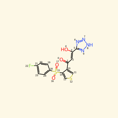 O=C(C=C(O)c1nn[nH]n1)c1cscc1S(=O)(=O)c1ccc(F)cc1